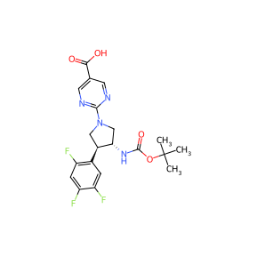 CC(C)(C)OC(=O)N[C@H]1CN(c2ncc(C(=O)O)cn2)C[C@@H]1c1cc(F)c(F)cc1F